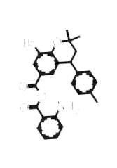 Cc1ccc(C2CC(C)(C)Oc3c(Br)cc(C(=O)OC(=O)c4ccccc4N)cc32)cc1